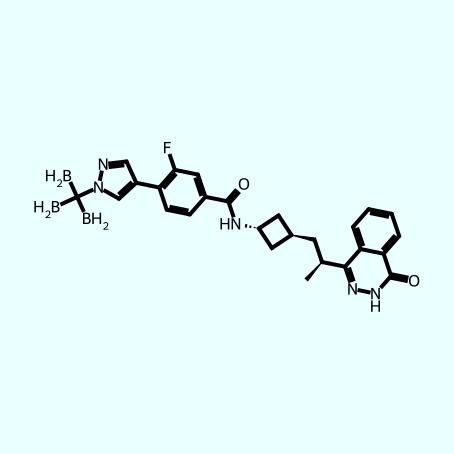 BC(B)(B)n1cc(-c2ccc(C(=O)N[C@H]3C[C@H](C[C@H](C)c4n[nH]c(=O)c5ccccc45)C3)cc2F)cn1